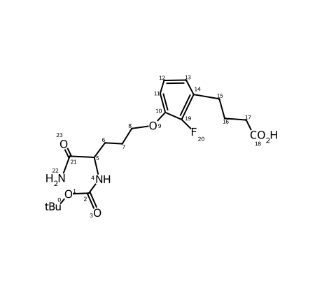 CC(C)(C)OC(=O)NC(CCCOc1cccc(CCCC(=O)O)c1F)C(N)=O